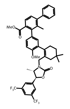 COC(=O)c1ccc(-c2ccccc2)c(C)c1-c1ccc(OC)c(C2=C(CN3C(=O)O[C@@H](c4cc(C(F)(F)F)cc(C(F)(F)F)c4)[C@@H]3C)CC(C)(C)CC2)c1